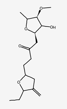 C=C1CC(CCC(=O)C[C@H]2OC(C)[C@@H](OC)C2O)OC1CC